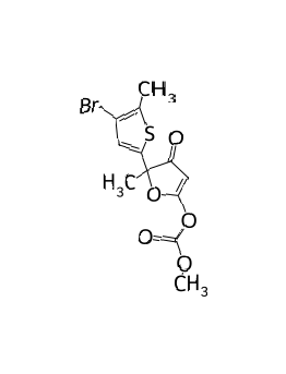 COC(=O)OC1=CC(=O)C(C)(c2cc(Br)c(C)s2)O1